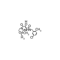 Cc1ccc(Cl)cc1CNC(=O)c1nc2n(c(=O)c1O)CCOC2(C)C